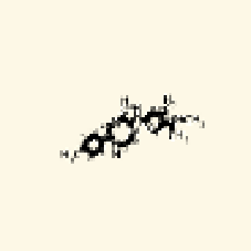 C=C(NC)c1ccc(Nc2ncc[nH]c(-c3ccc(C)cc3)cnc2C)cc1C